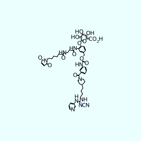 N#C/N=C(\NCCCCC1CCN(C(=O)c2cccc(NC(=O)OCc3ccc(O[C@@H]4O[C@H](C(=O)O)[C@@H](O)[C@H](O)[C@H]4O)c(NC(=O)CCNC(=O)CCCCCN4C(=O)C=CC4=O)c3)c2)CC1)Nc1cccnc1